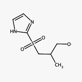 CC(C[O])CS(=O)(=O)c1ncc[nH]1